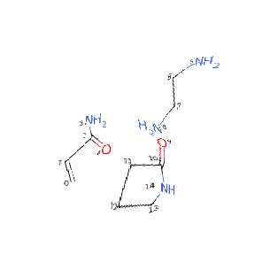 C=CC(N)=O.NCCN.O=C1CCCN1